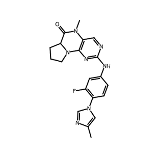 Cc1cn(-c2ccc(Nc3ncc4c(n3)N3CCCC3C(=O)N4C)cc2F)cn1